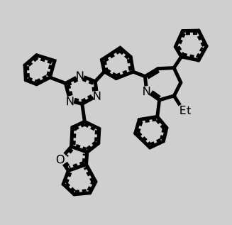 CCC1CC(c2ccccc2)C=C(c2cccc(-c3nc(-c4ccccc4)nc(-c4ccc5c(c4)oc4ccccc45)n3)c2)N=C1c1ccccc1